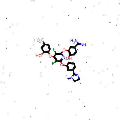 CN1CCN=C1c1cccc(Oc2nc(Oc3cc(C(=N)N)ccc3O)c(F)c(Oc3ccc(C(=O)O)cc3O)c2F)c1